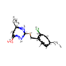 Cc1ccc(CSc2nc(C)cc(O)n2)c(Cl)c1